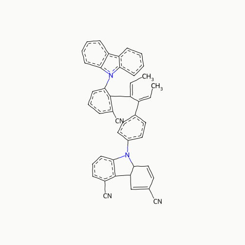 C/C=C(\C(=C/C)c1c(C#N)cccc1-n1c2ccccc2c2ccccc21)c1ccc(N2c3cccc(C#N)c3C3C=C(C#N)C=CC32)cc1